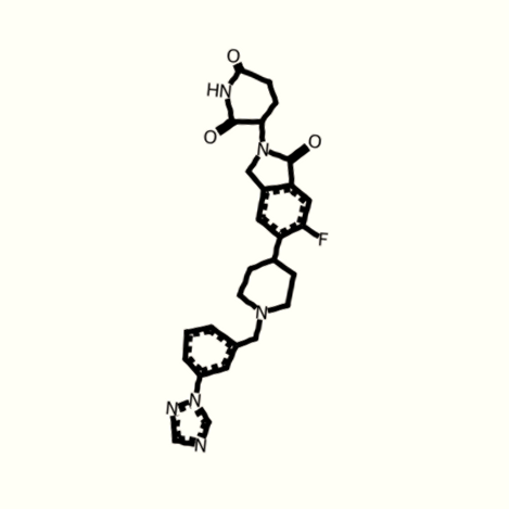 O=C1CCC(N2Cc3cc(C4CCN(Cc5cccc(-n6cncn6)c5)CC4)c(F)cc3C2=O)C(=O)N1